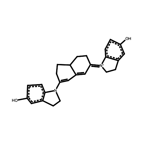 Oc1ccc2c(c1)CCN2C1=CC2=C/C(=[N+]3\CCc4cc(O)ccc43)CCC2CC1